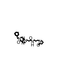 O=C(CCn1cnc2c(=O)n(Cc3ccccc3)cnc21)NCCCN1CCCC1=O